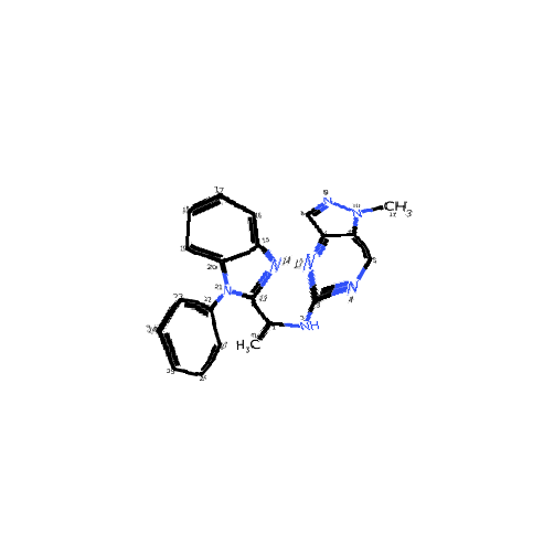 CC(Nc1ncc2c(cnn2C)n1)c1nc2ccccc2n1-c1ccccc1